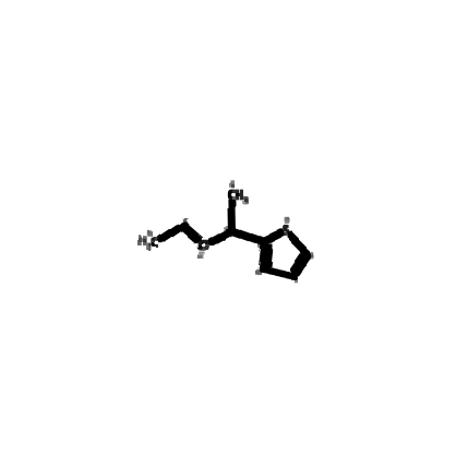 C[CH]OC(C)c1cccs1